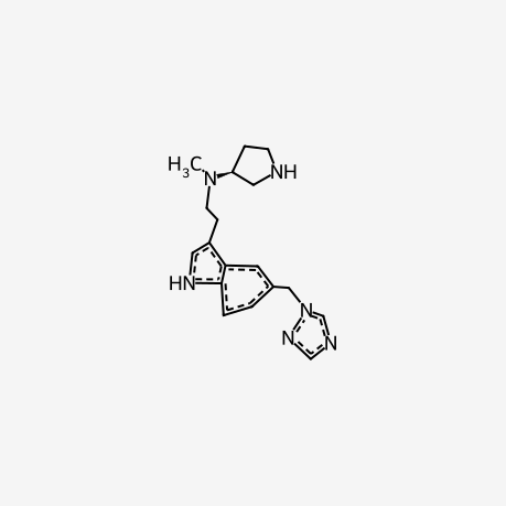 CN(CCc1c[nH]c2ccc(Cn3cncn3)cc12)[C@H]1CCNC1